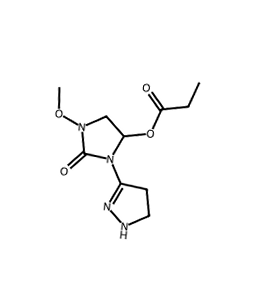 CCC(=O)OC1CN(OC)C(=O)N1C1=NNCC1